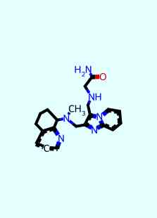 CN(Cc1nc2ccccn2c1CNCC(N)=O)C1CCCc2cccnc21